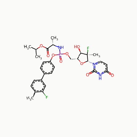 Cc1ccc(-c2ccc(OP(=O)(N[C@@H](C)C(=O)OC(C)C)OC[C@H]3O[C@@H](n4ccc(=O)[nH]c4=O)[C@](C)(F)[C@@H]3O)cc2)cc1F